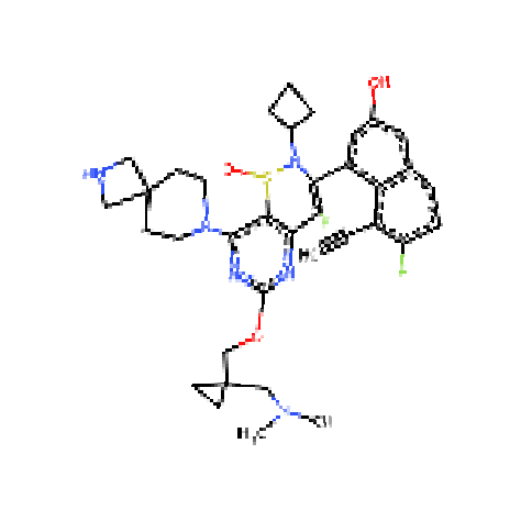 C#Cc1c(F)ccc2cc(O)cc(C3=C(F)c4nc(OCC5(CN(C)C)CC5)nc(N5CCC6(CC5)CNC6)c4[S+]([O-])N3C3CCC3)c12